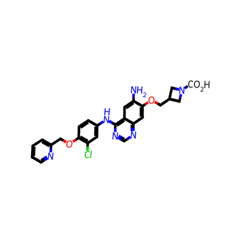 Nc1cc2c(Nc3ccc(OCc4ccccn4)c(Cl)c3)ncnc2cc1OCC1CN(C(=O)O)C1